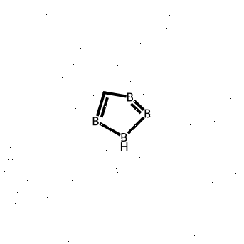 B1=BC=BB1